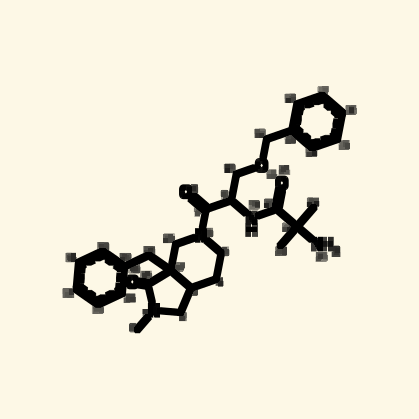 CN1CC2CCN(C(=O)C(COCc3ccccc3)NC(=O)C(C)(C)N)CC2(Cc2ccccc2)C1=O